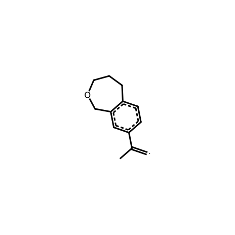 [CH]=C(C)c1ccc2c(c1)COCCC2